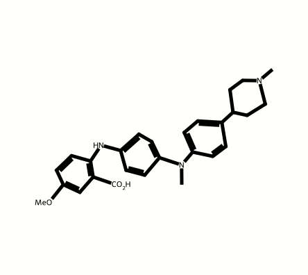 COc1ccc(Nc2ccc(N(C)c3ccc(C4CCN(C)CC4)cc3)cc2)c(C(=O)O)c1